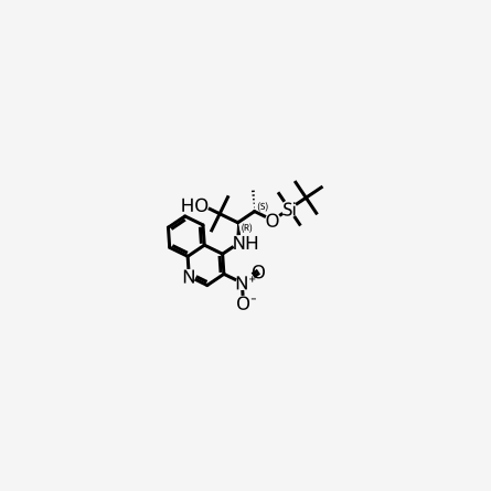 C[C@H](O[Si](C)(C)C(C)(C)C)[C@@H](Nc1c([N+](=O)[O-])cnc2ccccc12)C(C)(C)O